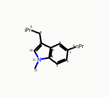 CCCc1ccc2c(c1)c(CC(C)C)cn2C